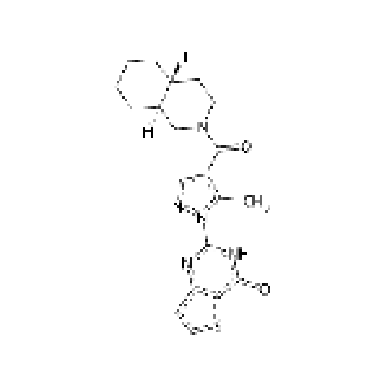 Cc1c(C(=O)N2CC[C@H]3CCCC[C@@H]3C2)cnn1-c1nc2ccsc2c(=O)[nH]1